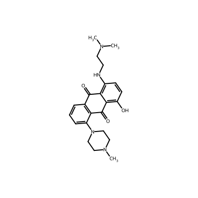 CN(C)CCNc1ccc(O)c2c1C(=O)c1cccc(N3CCN(C)CC3)c1C2=O